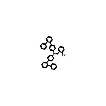 Brc1ccccc1CN(c1ccc(-c2ccccc2-c2ccccc2)cc1)C1C=CC(c2ccccc2-c2ccccc2)=CC1